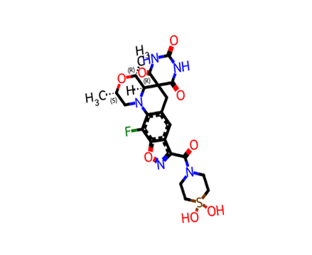 C[C@H]1CN2c3c(cc4c(C(=O)N5CCS(O)(O)CC5)noc4c3F)CC3(C(=O)NC(=O)NC3=O)[C@@H]2[C@@H](C)O1